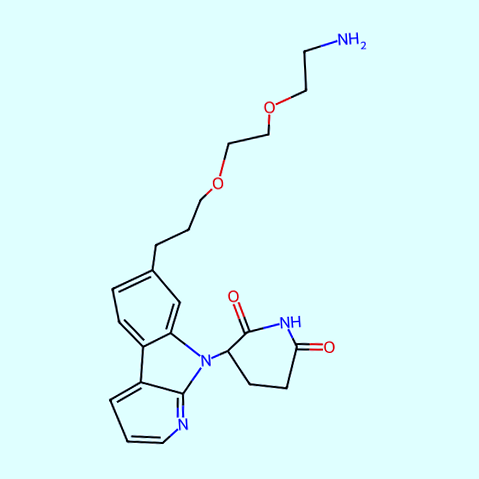 NCCOCCOCCCc1ccc2c3cccnc3n(C3CCC(=O)NC3=O)c2c1